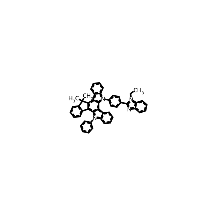 CCn1c(-c2ccc(-n3c4ccccc4c4c5c(c6c(c7ccccc7n6-c6ccccc6)c43)-c3ccccc3C5(C)C)cc2)nc2ccccc21